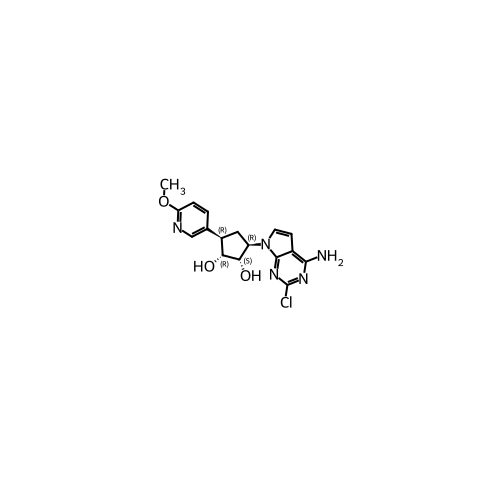 COc1ccc([C@H]2C[C@@H](n3ccc4c(N)nc(Cl)nc43)[C@H](O)[C@@H]2O)cn1